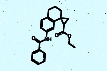 CCOC(=O)C1CC12CCCc1ccc(NC(=O)c3ccccc3)cc12